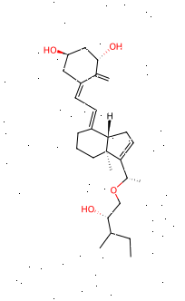 C=C1C(=CC=C2CCC[C@]3(C)C([C@H](C)OC[C@@H](O)C(C)CC)=CC[C@@H]23)C[C@@H](O)C[C@@H]1O